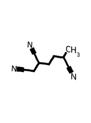 CC(C#N)CCC(C#N)CC#N